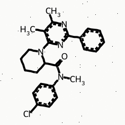 Cc1nc(-c2ccccc2)nc(N2CCCCC2C(=O)N(C)c2ccc(Cl)cc2)c1C